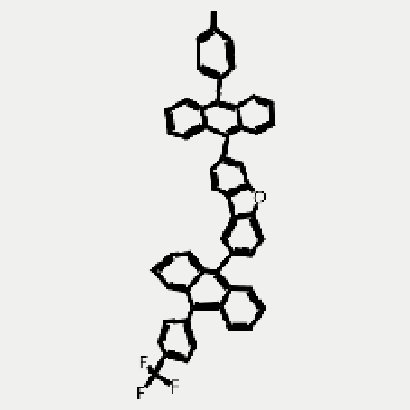 Cc1ccc(-c2c3ccccc3c(-c3ccc4c(c3)oc3ccc(-c5c6ccccc6c(-c6ccc(C(F)(F)F)cc6)c6ccccc56)cc34)c3ccccc23)cc1